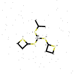 CC(C)[S][SnH]([S]C1CCS1)[S]C1CCS1